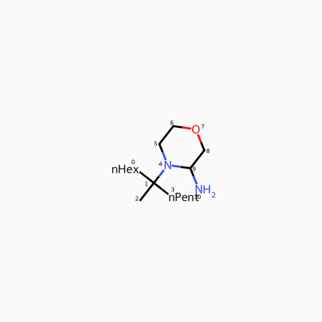 CCCCCCC(C)(CCCCC)N1CCOCC1N